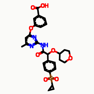 Cc1cc(Oc2cccc(C(=O)O)c2)nc(NC(=O)C(OC2CCOCC2)c2ccc(S(=O)(=O)C3CC3)cc2)n1